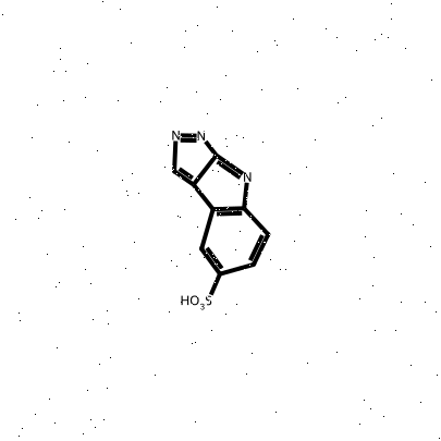 O=S(=O)(O)c1ccc2c(c1)C1=CN=NC1=N2